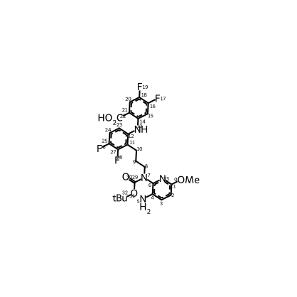 COc1ccc(N)c(N(CCCc2c(Nc3cc(F)c(F)cc3C(=O)O)ccc(F)c2F)C(=O)OC(C)(C)C)n1